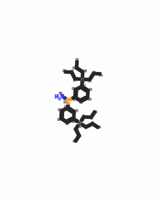 CCC[Si](CCC)(CCC)c1cccc(P(N)c2cccc([Si](CCC)(CCC)CCC)c2)c1